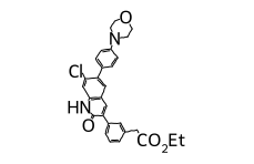 CCOC(=O)Cc1cccc(-c2cc3cc(-c4ccc(N5CCOCC5)cc4)c(Cl)cc3[nH]c2=O)c1